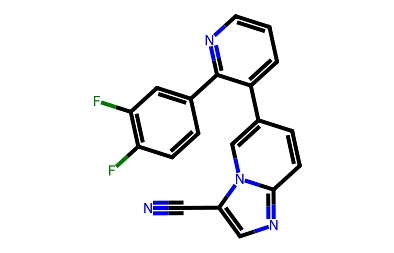 N#Cc1cnc2ccc(-c3cccnc3-c3ccc(F)c(F)c3)cn12